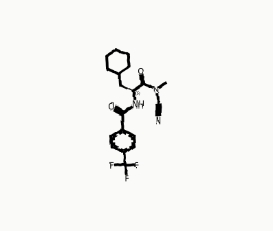 CN(C#N)C(=O)[C@H](CC1CCCCC1)NC(=O)c1ccc(C(F)(F)F)cc1